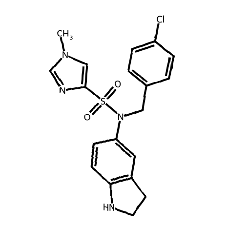 Cn1cnc(S(=O)(=O)N(Cc2ccc(Cl)cc2)c2ccc3c(c2)CCN3)c1